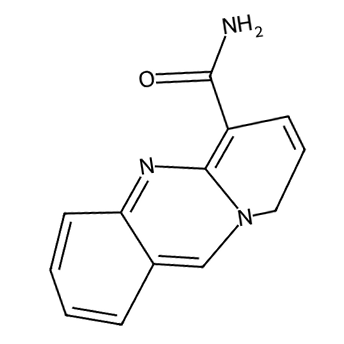 NC(=O)C1=C2N=c3ccccc3=CN2CC=C1